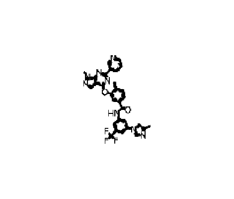 Cc1cn(-c2cc(NC(=O)c3ccc(C)c(Oc4nc(-c5cccnc5)nc5c4cnn5C)c3)cc(C(F)(F)F)c2)cn1